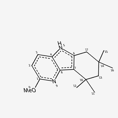 COc1ccc2[nH]c3c(c2n1)C(C)(C)CC(C)(C)C3